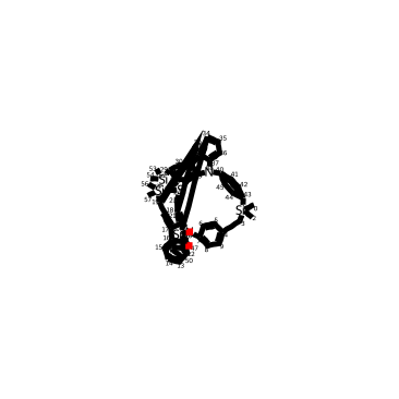 C[Si]1(C)Cc2ccc(cc2)-n2c3ccc4cc3c3cc5cc(c32)C[Si](C)(C)c2cc(cc3c6cc(ccc6n(c23)-c2ccc1cc2)[Si](C)(C)[Si]4(C)C)[Si](C)(C)[Si]5(C)C